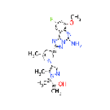 COc1cc(F)cc2c1nc(N)n1nc([C@H]3C[C@@H](C)CN(c4cnn([C@H](C)[C@@H](C)O)c4C)C3)nc21